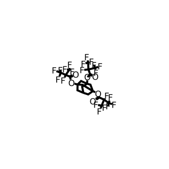 O=C(OC12CC3CC(OC(=O)C(F)(C(F)(F)F)C(F)(F)F)(C1)CC(OC(=O)C(F)(C(F)(F)F)C(F)(F)F)(C3)C2)C(F)(C(F)(F)F)C(F)(F)F